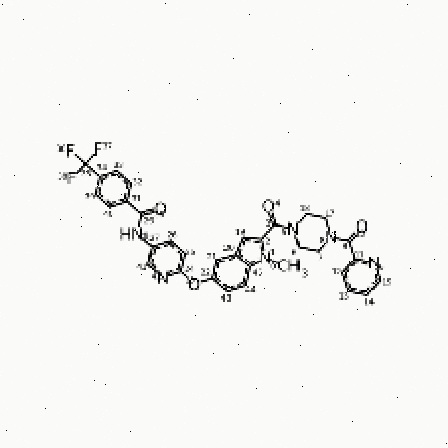 Cn1c(C(=O)N2CCN(C(=O)c3ccccn3)CC2)cc2cc(Oc3ccc(NC(=O)c4ccc(C(F)(F)F)cc4)cn3)ccc21